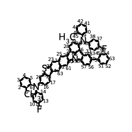 Cc1ccccc1N(c1ccc(F)cc1)c1ccc2c(c1)sc1cc3cc4c5ccc(N(c6ccc(F)cc6)c6ccccc6C)c6c7cc(-c8ccccc8)ccc7n(c4cc3cc12)c56